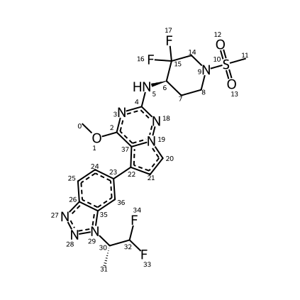 COc1nc(N[C@@H]2CCN(S(C)(=O)=O)CC2(F)F)nn2ccc(-c3ccc4nnn([C@@H](C)C(F)F)c4c3)c12